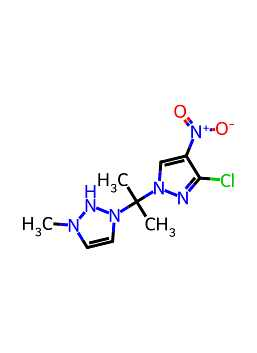 CN1C=CN(C(C)(C)n2cc([N+](=O)[O-])c(Cl)n2)N1